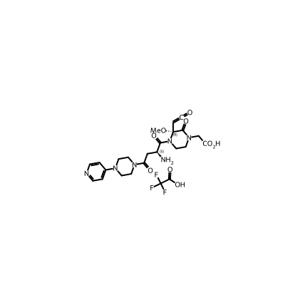 CO[C@]1(C=C=O)C(=O)N(CC(=O)O)CCN1C(=O)[C@@H](N)CC(=O)N1CCN(c2ccncc2)CC1.O=C(O)C(F)(F)F